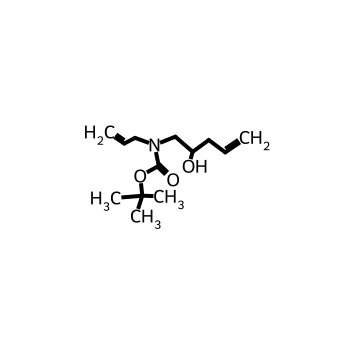 C=CCC(O)CN(CC=C)C(=O)OC(C)(C)C